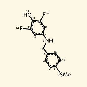 CSc1ccc(CNc2cc(F)c(O)c(F)c2)cc1